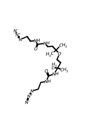 CC(C)(CCOC(C)(C)CCNC(=O)NCCN=[N+]=[N-])NC(=O)NCCN=[N+]=[N-]